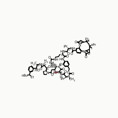 CCCCC(CC)c1cccc([C@H](O)[C@@H](C)NC(=O)[C@H](C)[C@@H](OC)[C@@H]2CCCN2C(=O)C[C@@H](OC)[C@H]([C@@H](C)CC)N(C)C(=O)[C@@H](NC(=O)[C@H](C(C)C)N(C)C(=O)OCc2ccc(NC(=O)[C@H](CCCNC(N)=O)NC(=O)[C@@H](NC(=O)c3ccc4c(c3)N3C(=O)CC(C3=O)C(I)(CC)CC(I)(CCC)C3CC(=O)N4C3=O)C(C)C)cc2)C(C)C)c1